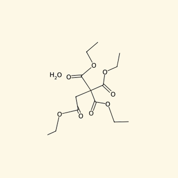 CCOC(=O)CC(C(=O)OCC)(C(=O)OCC)C(=O)OCC.O